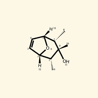 C[C@@H]1[C@@H]2C=C[C@@H](O2)[C@H](C)[C@]1(C)O